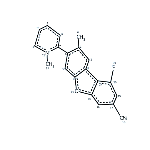 Cc1cc2c(cc1-c1cccc[n+]1C)oc1cc(C#N)cc(F)c12